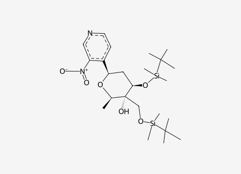 C[C@H]1O[C@@H](c2ccncc2[N+](=O)[O-])C[C@@H](O[Si](C)(C)C(C)(C)C)[C@@]1(O)CO[Si](C)(C)C(C)(C)C